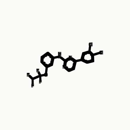 FC(F)C(F)(F)Oc1cccc(Nc2nccc(-c3ccc(Cl)c(Cl)c3)n2)c1